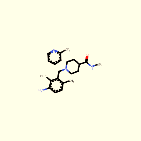 Cc1ccc(N)c(C=O)c1CN1CCC(C(=O)NC(C)(C)C)CC1.FC(F)(F)c1ccccn1